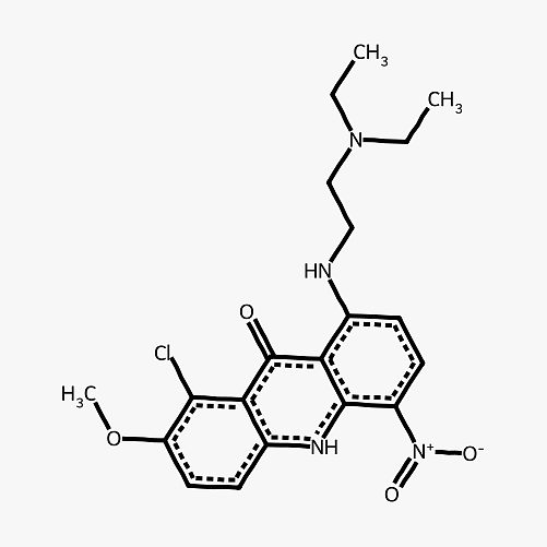 CCN(CC)CCNc1ccc([N+](=O)[O-])c2[nH]c3ccc(OC)c(Cl)c3c(=O)c12